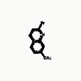 CC(=O)Oc1ccc2ccc(Br)nc2c1